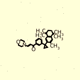 Cc1cc2c(cc1C1(c3cccc(C(=O)C=CN4CCOCC4)c3)CC1)C(C)(C)CCC2(C)C